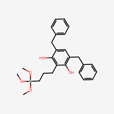 CO[Si](CCCc1c(O)c(Cc2ccccc2)cc(Cc2ccccc2)c1O)(OC)OC